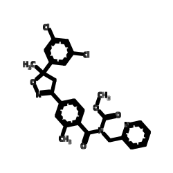 COC(=O)N(Cc1ccccn1)C(=O)c1ccc(C2=NOC(C)(c3cc(Cl)cc(Cl)c3)C2)cc1C